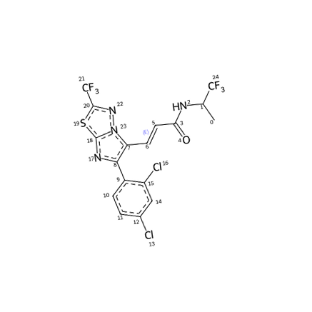 CC(NC(=O)/C=C/c1c(-c2ccc(Cl)cc2Cl)nc2sc(C(F)(F)F)nn12)C(F)(F)F